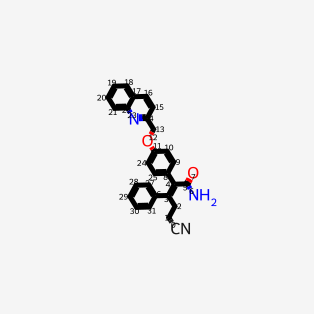 N#CCCC(=C(C(N)=O)c1ccc(OCc2ccc3ccccc3n2)cc1)c1ccccc1